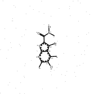 CCN(C)C(=O)c1sc2nc(C)c(Cl)c(C)c2c1Br